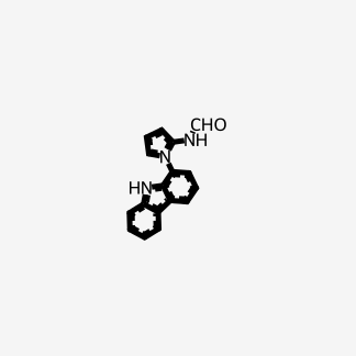 O=CNc1cccn1-c1cccc2c1[nH]c1ccccc12